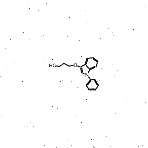 OCCCOc1cn(-c2ccccc2)c2ccccc12